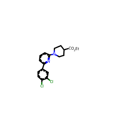 CCOC(=O)C1CCN(c2cccc(-c3ccc(Cl)c(Cl)c3)n2)CC1